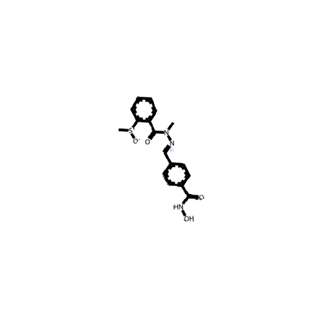 CN(/N=C/c1ccc(C(=O)NO)cc1)C(=O)c1ccccc1[S+](C)[O-]